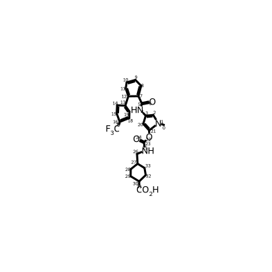 Cn1cc(NC(=O)c2ccccc2-c2ccc(C(F)(F)F)cc2)cc1OC(=O)NCC1CCC(C(=O)O)CC1